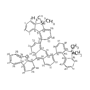 C[Si]1(C)c2ccccc2-c2c(-c3cccc4c(-c5cccc6c5oc5ccccc56)c5cccc(-c6cccc7c6-c6ccccc6[Si]7(C)C)c5cc34)cccc21